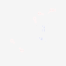 CCS(=O)(=O)c1ccc(C(=O)N[C@@H](C)C(=O)O)c(N)c1